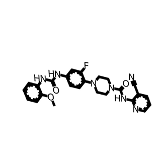 COc1ccccc1NC(=O)Nc1ccc(N2CCN(C(=O)Nc3ncccc3C#N)CC2)c(F)c1